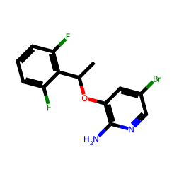 CC(Oc1cc(Br)cnc1N)c1c(F)cccc1F